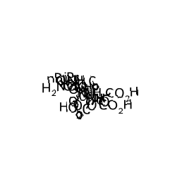 CCCC[C@H](NC(=O)[C@H](CC(C)C)NC(=O)[C@H](CCC(=O)OCc1ccccc1)NC(=O)[C@H](Cc1ccccc1C)NC(=O)[C@H](CCC(=O)O)NC(=O)[C@H](CC(=O)O)NC(=O)CCC(=O)O)C(=O)C(N)=O